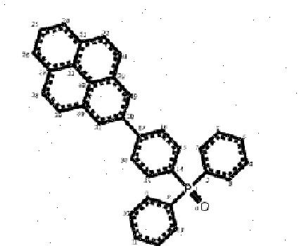 O=P(c1ccccc1)(c1ccccc1)c1ccc(-c2cc3ccc4cccc5ccc(c2)c3c45)cc1